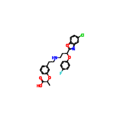 CC(Oc1cccc(CCNCCC(Oc2ccc(F)cc2)c2nc3cc(Cl)ccc3o2)c1)C(=O)O